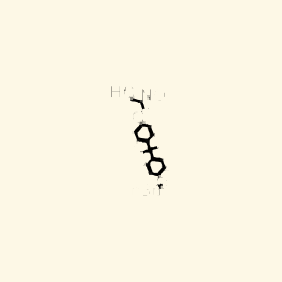 CCCCOc1ccc(C(C)(C)c2ccc(OCC(CO)N=O)cc2)cc1